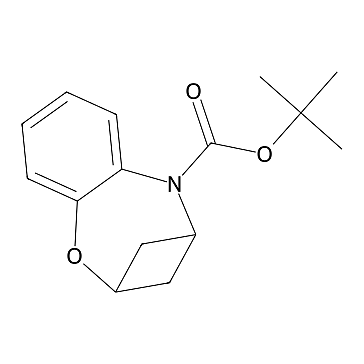 CC(C)(C)OC(=O)N1c2ccccc2OC2CC1C2